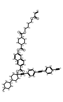 C#Cc1ccc(C#Cc2ccc(C#CC3(OC(=O)c4ccc5cc(OC(=O)C6CCC(C(=O)OCCCCOC(=O)C=C)CC6)ccc5c4)CCC(C4CCC(C)CC4)CC3)cc2)cc1